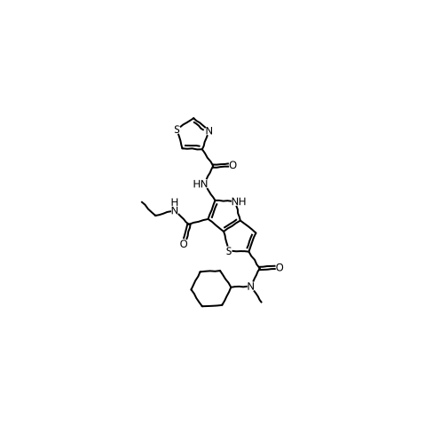 CCNC(=O)c1c(NC(=O)c2cscn2)[nH]c2cc(C(=O)N(C)C3CCCCC3)sc12